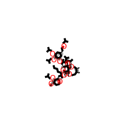 CCCCCC(C)(C[C@H]1OCC[C@@H](OC)[C@@H]1OCC(C)C)O[C@H]1O[C@H](CC(C)(CCCC)O[C@H]2C[C@H](CCOCC(C)C)C[C@H](OCC(C)C)[C@H]2OCC(C)C)[C@@H](OCC(C)C)[C@@H]2OC[C@@H](C)[C@@H](C)CCO[C@@H]12